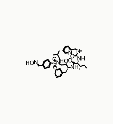 CC[C@H](C)[C@H](NC(=O)N(C)Cc1ccccn1)C(=O)N[C@@H](Cc1ccccc1)[C@H](O)CN(CC(C)C)S(=O)(=O)c1ccc(C=NO)cc1